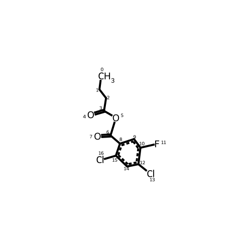 CCCC(=O)OC(=O)c1cc(F)c(Cl)cc1Cl